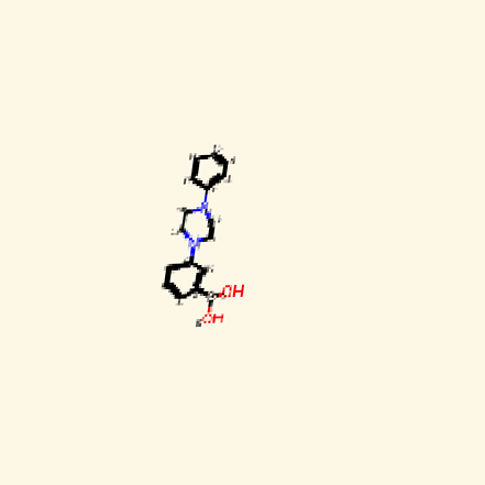 OB(O)c1cccc(N2CCN(c3ccccc3)CC2)c1